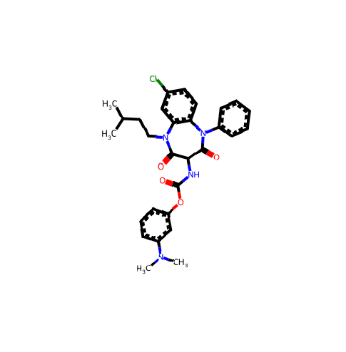 CC(C)CCN1C(=O)C(NC(=O)Oc2cccc(N(C)C)c2)C(=O)N(c2ccccc2)c2ccc(Cl)cc21